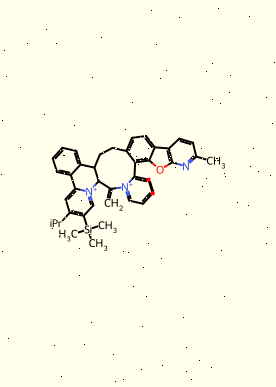 C=C1C2C(CCc3ccc4c(oc5nc(C)ccc54)c3-c3c4c(cc[n+]31)CCCC4)c1ccccc1-c1cc(C(C)C)c([Si](C)(C)C)c[n+]12